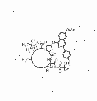 COc1ccc2c(O[C@@H]3C[C@H]4C(=O)N[C@]5(C(=O)NS(=O)(=O)C6(C)CC6)C[C@H]5C=CCC[C@@H](C)C[C@@H](C)[C@H](N(C(=O)O)C(C)(C)C(F)(F)F)C(=O)N4C3)nc(-c3ccc(F)cc3)cc2c1